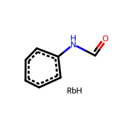 O=CNc1ccccc1.[RbH]